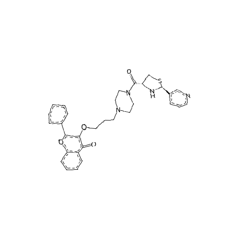 O=C([C@@H]1CS[C@@H](c2cccnc2)N1)N1CCN(CCCOc2c(-c3ccccc3)oc3ccccc3c2=O)CC1